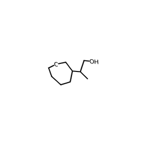 CC(CO)C1CCCCCC1